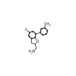 Cc1cccc(-c2cc(F)cc3c2OC(CN)C3)c1